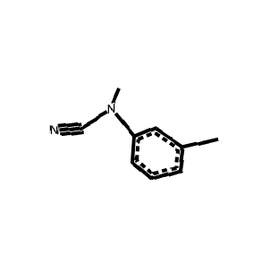 Cc1cccc(N(C)C#N)c1